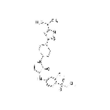 CCS(=O)(=O)c1ccc(NC2CCN(C3CCN(c4nc(C(C)C)ns4)CC3)C2=O)cc1C